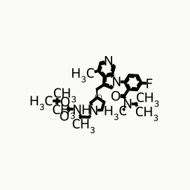 Cc1cncc2c1c(C[C@H]1CCN(CC(C)NC(=O)OC(C)(C)C)C1)cn2-c1ccc(F)cc1C(=O)N(C)C(C)C